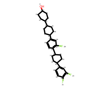 OC1CCC(C2CCC(c3ccc(C4CCC(c5ccc(F)c(F)c5)CC4)c(F)c3)CC2)CC1